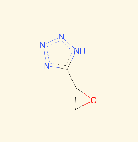 C1OC1c1nnn[nH]1